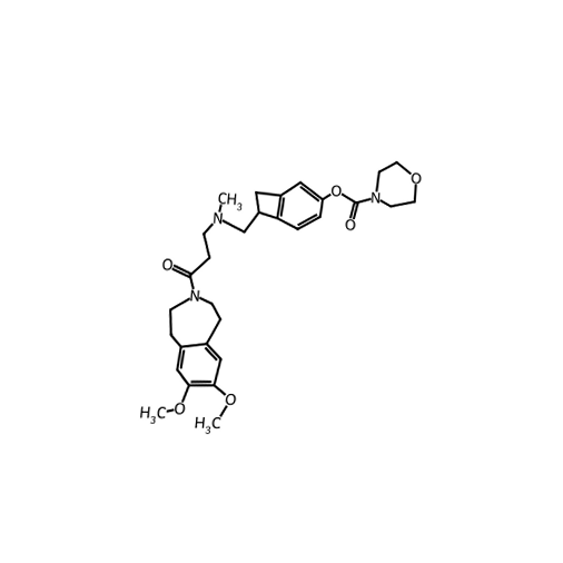 COc1cc2c(cc1OC)CCN(C(=O)CCN(C)CC1Cc3cc(OC(=O)N4CCOCC4)ccc31)CC2